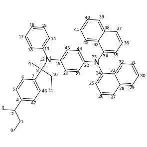 CCC(C)c1ccc(C(C)(CC)N(c2ccccc2)c2ccc(N(c3cccc4ccccc34)c3cccc4ccccc34)cc2)cc1